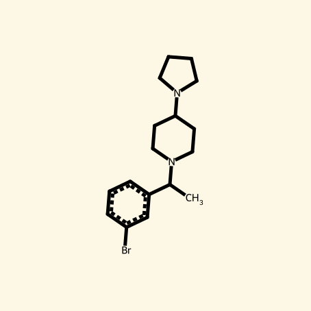 CC(c1cccc(Br)c1)N1CCC(N2CCCC2)CC1